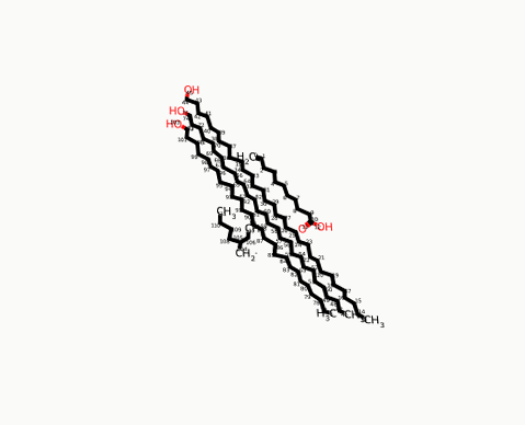 C=CCCCCCCCCC(=O)O.CCCCCCCCCCCCCCCCCCCCCCCCCCCCCCCCO.CCCCCCCCCCCCCCCCCCCCCCCCCCCCCO.CCCCCCCCCCCCCCCCCCCCCCCCCCCO.[CH2]C(CC)CCCC